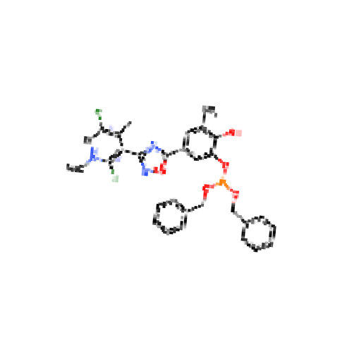 CC/C(Cl)=C(C)\C(=C(\Cl)NOC)c1noc(-c2cc(OP(OCc3ccccc3)OCc3ccccc3)c(O)c([N+](=O)[O-])c2)n1